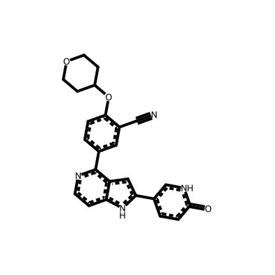 N#Cc1cc(-c2nccc3[nH]c(-c4ccc(=O)[nH]c4)cc23)ccc1OC1CCOCC1